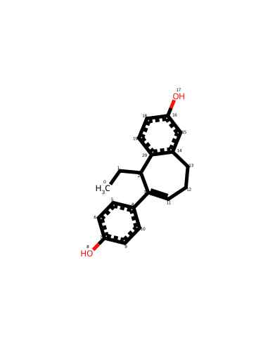 CCC1C(c2ccc(O)cc2)=CCCc2cc(O)ccc21